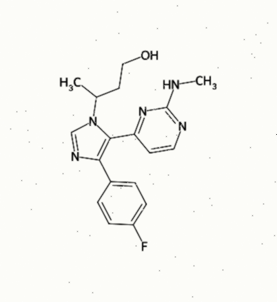 CNc1nccc(-c2c(-c3ccc(F)cc3)ncn2C(C)CCO)n1